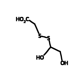 O=C(O)CSSC(O)CO